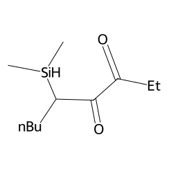 CCCCC(C(=O)C(=O)CC)[SiH](C)C